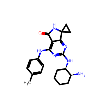 Cc1ccc(Nc2nc(N[C@@H]3CCCC[C@@H]3N)nc3c2C(=O)NC32CC2)cc1